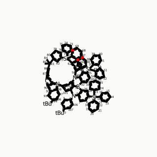 CC(C)(C)c1ccc(N2c3ccc([Si](c4ccccc4)(c4ccccc4)c4ccccc4)cc3B3c4ccc([Si](c5ccccc5)(c5ccccc5)c5ccccc5)cc4N4c5cccc(c5)[Si](c5ccccc5)(c5ccccc5)c5cccc(c5)C(C)(C)c5ccc6c(c5)c5cc(C(C)(C)C)ccc5n6-c5cc2c3c4c5)cc1